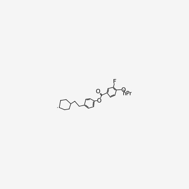 CCCOc1ccc(C(=O)Oc2ccc(CCC3CC[CH]CC3)cc2)cc1F